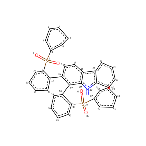 O=S(=O)(c1ccccc1)c1ccccc1-c1ccc2c([nH]c3ccccc32)c1-c1ccccc1S(=O)(=O)c1ccccc1